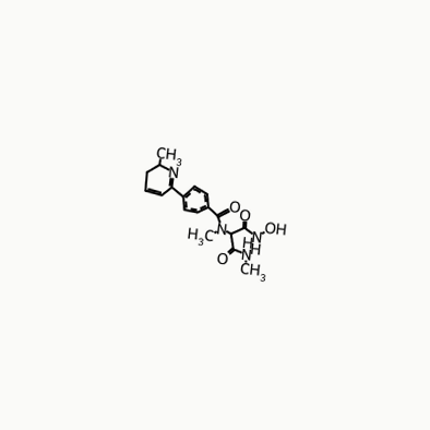 CNC(=O)C(C(=O)NO)N(C)C(=O)c1ccc(C2=NC(C)CC=C2)cc1